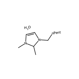 CCCCCCN1C=CN(C)C1C.O